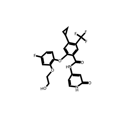 O=C(Nc1cc[nH]c(=O)c1)c1cc(C(F)(F)F)c(C2CC2)cc1Oc1ccc(F)cc1OCCO